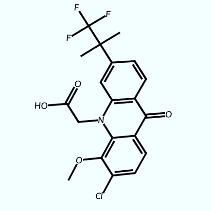 COc1c(Cl)ccc2c(=O)c3ccc(C(C)(C)C(F)(F)F)cc3n(CC(=O)O)c12